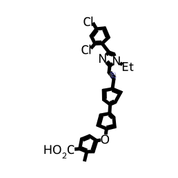 CCn1cc(-c2ccc(Cl)cc2Cl)nc1/C=C/c1ccc(-c2ccc(Oc3ccc(C(=O)O)c(C)c3)cc2)cc1